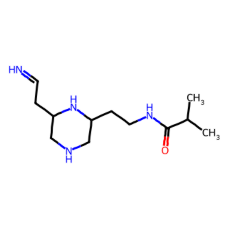 CC(C)C(=O)NCCC1CNCC(CC=N)N1